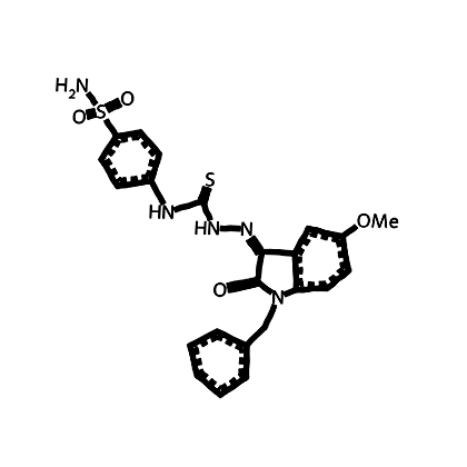 COc1ccc2c(c1)C(=NNC(=S)Nc1ccc(S(N)(=O)=O)cc1)C(=O)N2Cc1ccccc1